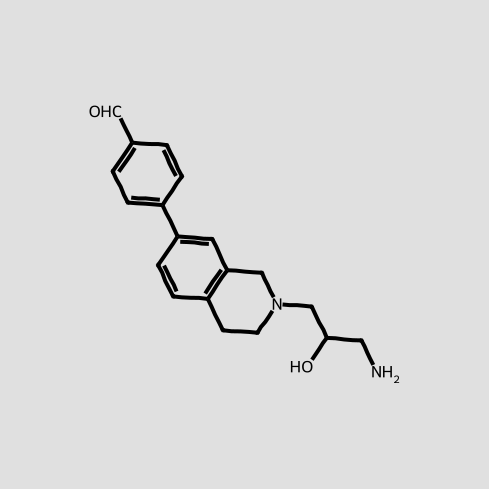 NCC(O)CN1CCc2ccc(-c3ccc(C=O)cc3)cc2C1